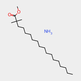 CCCCCCCCCCCCCCCCC(C)(C)C(=O)OC.N